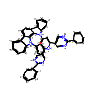 C1=C(c2cnc(-c3ccccc3)nc2)NC(c2cnc(-c3ccccc3)nc2)C=C1n1c2ccccc2c2ccc3c4ccccc4n(-c4ccccc4)c3c21